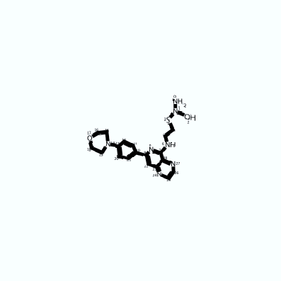 NN(O)SCCNc1nc(-c2ccc(N3CCOCC3)cc2)cc2nccnc12